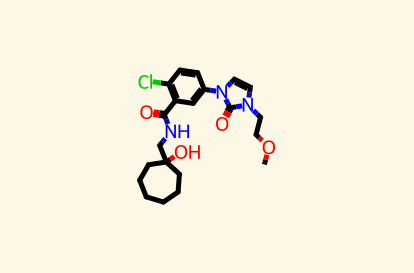 COCCn1ccn(-c2ccc(Cl)c(C(=O)NCC3(O)CCCCCC3)c2)c1=O